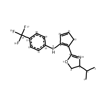 CC(C)C1COC(C2=C(Pc3ccc(C(F)(F)F)cc3)C=CC2)=N1